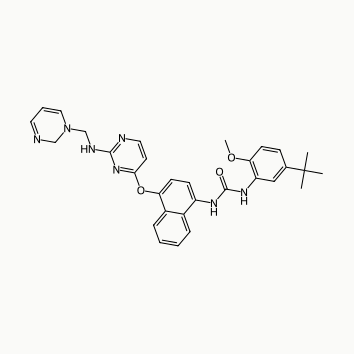 COc1ccc(C(C)(C)C)cc1NC(=O)Nc1ccc(Oc2ccnc(NCN3C=CC=NC3)n2)c2ccccc12